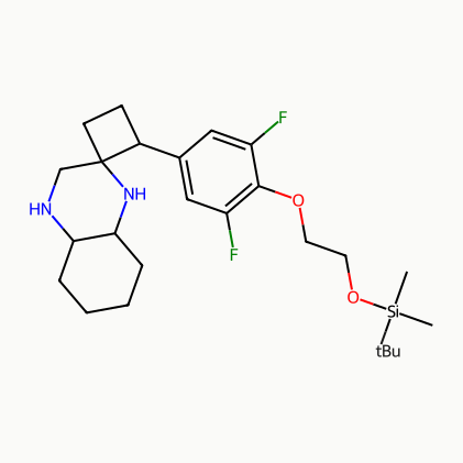 CC(C)(C)[Si](C)(C)OCCOc1c(F)cc(C2CCC23CNC2CCCCC2N3)cc1F